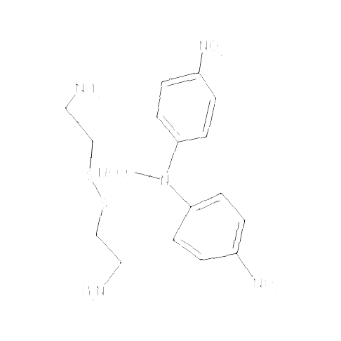 NCCSSCCN.O=C(O)N(c1ccc([N+](=O)[O-])cc1)c1ccc([N+](=O)[O-])cc1